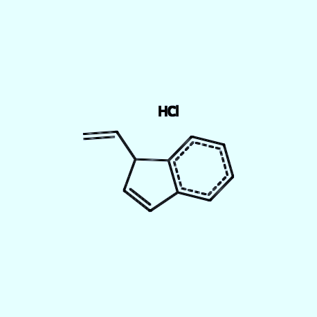 C=CC1C=Cc2ccccc21.Cl